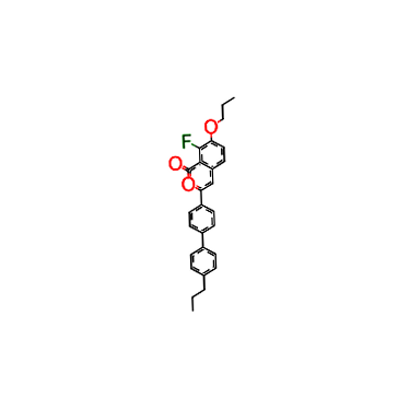 CCCOc1ccc2cc(-c3ccc(-c4ccc(CCC)cc4)cc3)oc(=O)c2c1F